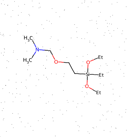 CCO[Si](CC)(CCOCN(C)C)OCC